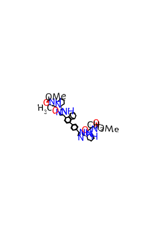 COC(=O)N[C@@H](C)C(=O)N1CCCC[C@H]1c1ncc(-c2ccc(-c3ccc(-c4cnc([C@@H]5CCCCN5C(=O)[C@H](C)NC(=O)OC)[nH]4)c4c3C3CCC4CC3)cc2)[nH]1